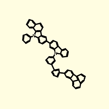 c1ccc(-n2c3ccc(-c4ccc5c6ccccc6n(-c6cccc(-c7cccc(-c8ccc9c(c8)-c8cccc%10cccc-9c8%10)c7)c6)c5c4)cc3c3ccc4ccccc4c32)cc1